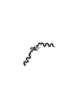 CC/C=C\C/C=C\C/C=C\C/C=C\C/C=C\C/C=C\CCC(=O)N1C[C@@H]2C[C@H]1CN2C(=O)CCC/C=C\C/C=C\C/C=C\C/C=C\C/C=C\CC